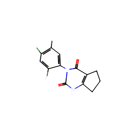 O=C(O)c1cc(-n2c(=O)[nH]c3c(c2=O)CCC3)c(F)cc1Br